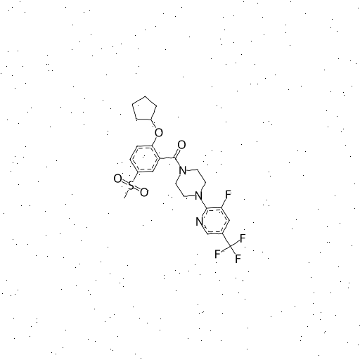 CS(=O)(=O)c1ccc(OC2CCCC2)c(C(=O)N2CCN(c3ncc(C(F)(F)F)cc3F)CC2)c1